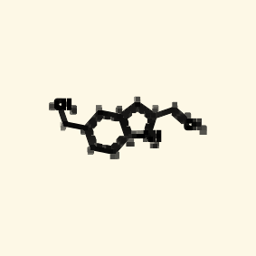 C=Cc1cc2cc(CC)ccc2[nH]1